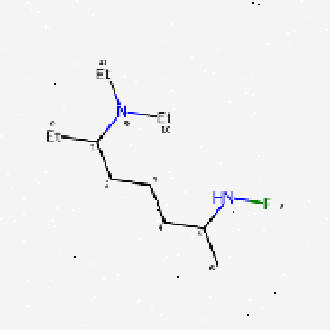 CCC(CCCC(C)NF)N(CC)CC